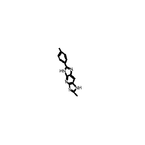 Cc1ccc(-c2nc3cc4[nH]c(C)nc4nc3[nH]2)cc1